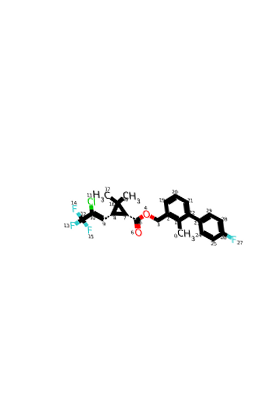 Cc1c(COC(=O)[C@@H]2[C@H](/C=C(\Cl)C(F)(F)F)C2(C)C)cccc1-c1ccc(F)cc1